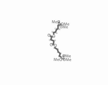 CO[Si](CCCCCOC(=O)CCC(=O)OCCCCC[Si](OC)(OC)OC)(OC)OC